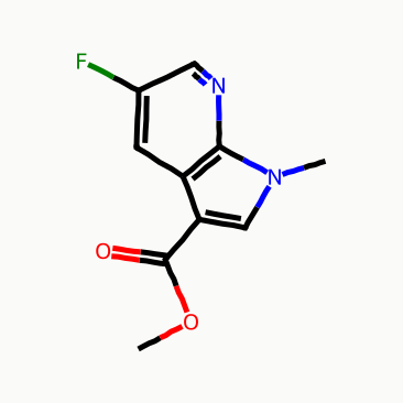 COC(=O)c1cn(C)c2ncc(F)cc12